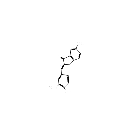 COc1cc(/C=C2\Cc3ccc(NC(C)=O)cc3C2=O)ccc1O